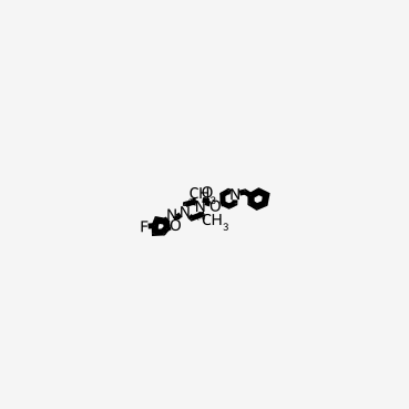 C[C@@H]1CN(c2nc3cc(F)ccc3o2)C[C@@H](C)N1C(=O)OC1CCN(Cc2ccccc2)CC1